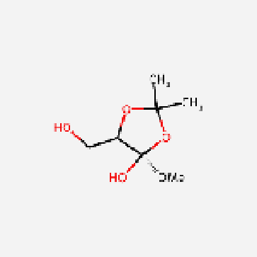 CO[C@@]1(O)OC(C)(C)OC1CO